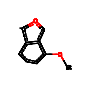 CCOc1cccc2[c]occ12